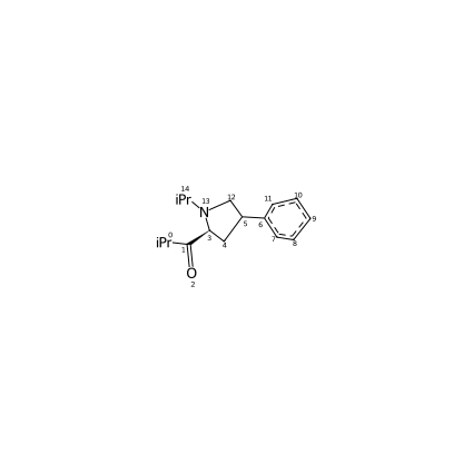 CC(C)C(=O)[C@@H]1CC(c2ccccc2)CN1C(C)C